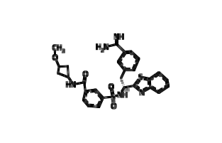 COC1CC(NC(=O)c2cccc(S(=O)(=O)N[C@H](Cc3cccc(C(=N)N)c3)c3nc4ccccc4s3)c2)C1